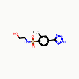 Cc1cc(-c2nn[nH]n2)ccc1S(=O)(=O)NCCO